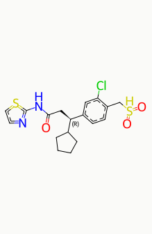 O=C(C[C@@H](c1ccc(C[SH](=O)=O)c(Cl)c1)C1CCCC1)Nc1nccs1